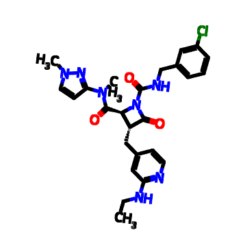 CCNc1cc(C[C@H]2C(=O)N(C(=O)NCc3cccc(Cl)c3)[C@@H]2C(=O)N(C)c2ccn(C)n2)ccn1